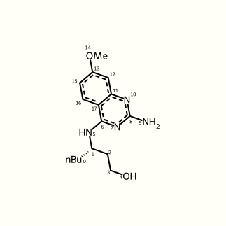 CCCC[C@@H](CCO)Nc1nc(N)nc2cc(OC)ccc12